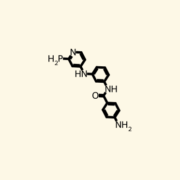 Nc1ccc(C(=O)Nc2cccc(Nc3ccnc(P)c3)c2)cc1